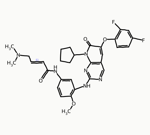 COc1ccc(NC(=O)/C=C/CN(C)C)cc1Nc1ncc2cc(Oc3ccc(F)cc3F)c(=O)n(C3CCCC3)c2n1